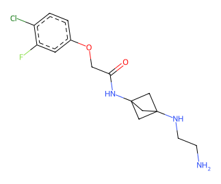 NCCNC12CC(NC(=O)COc3ccc(Cl)c(F)c3)(C1)C2